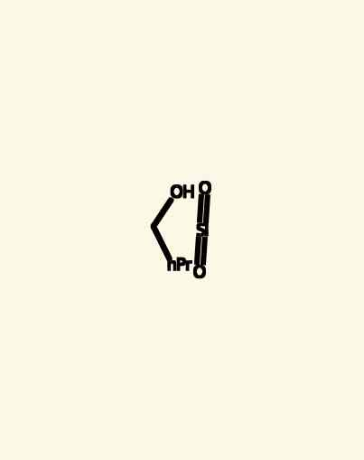 CCCCO.O=[Si]=O